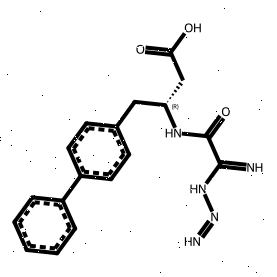 N=NNC(=N)C(=O)N[C@@H](CC(=O)O)Cc1ccc(-c2ccccc2)cc1